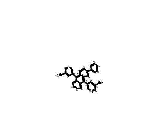 N#Cc1cncc(-c2c3ccccc3c(-c3cncc(C#N)c3)c3cc(-c4ccccc4)ccc23)c1